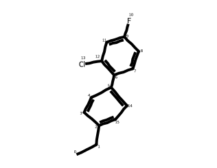 CCc1ccc(-c2ccc(F)cc2Cl)cc1